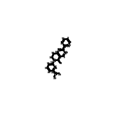 CC1c2cnc(-c3ncccn3)nc2CCN1c1cccc(N(C)C)n1